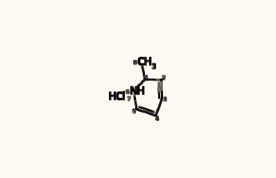 CC1C=CC=CN1.Cl